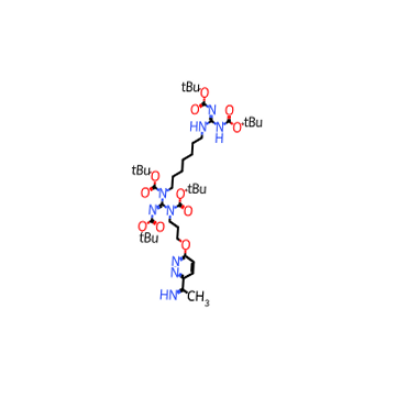 CC(=N)c1ccc(OCCCN(C(=O)OC(C)(C)C)/C(=N\C(=O)OC(C)(C)C)N(CCCCCCCN/C(=N\C(=O)OC(C)(C)C)NC(=O)OC(C)(C)C)C(=O)OC(C)(C)C)nn1